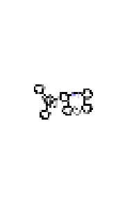 C1=C\c2ccc(-c3cc(-c4ccccc4)nc(-c4ccccc4)n3)cc2-c2ccccc2Sc2ccccc2-c2ccccc2/1